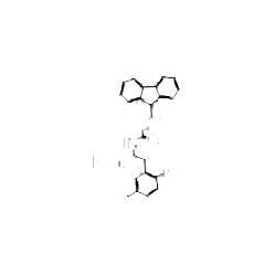 O=C(N[C@@H](Cc1cc(I)ccc1F)C(=O)O)OCC1c2ccccc2-c2ccccc21